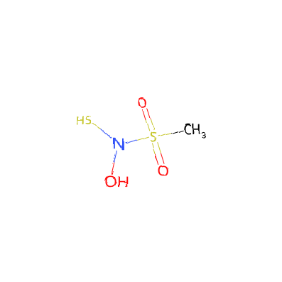 CS(=O)(=O)N(O)S